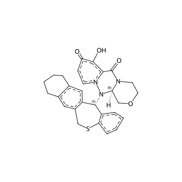 O=C1c2c(O)c(=O)ccn2N([C@H]2c3cc4c(cc3CSc3ccccc32)CCCC4)[C@@H]2COCCN12